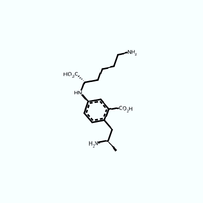 C[C@@H](N)Cc1ccc(N[C@@H](CCCCN)C(=O)O)cc1C(=O)O